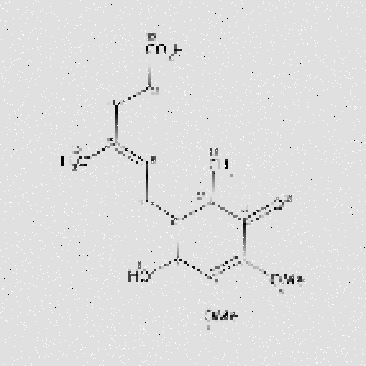 COC1=C(OC)C(O)C(C/C=C(\C)CCC(=O)O)C(C)C1=O